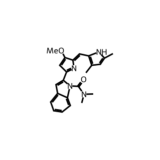 COC1=CC(c2cc3ccccc3n2C(=O)N(C)C)=NC1=Cc1[nH]c(C)cc1C